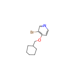 Brc1cnccc1OCC1CCCCC1